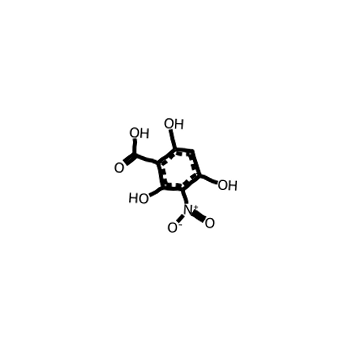 O=C(O)c1c(O)cc(O)c([N+](=O)[O-])c1O